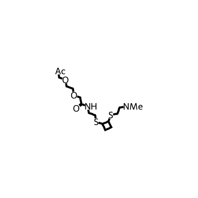 CNCCSC1CCC1SCCNC(=O)COCCOCC(C)=O